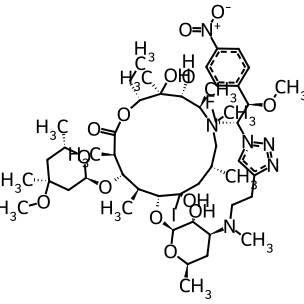 CC[C@H]1OC(=O)[C@H](C)[C@@H](O[C@H]2C[C@@](C)(OC)C[C@H](C)O2)[C@H](C)[C@@H](O[C@@H]2O[C@H](C)C[C@H](N(C)CCc3cn([C@H](CF)[C@H](OC)c4ccc([N+](=O)[O-])cc4)nn3)[C@H]2O)[C@@](O)(I)C[C@@H](C)CN(C)[C@H](C)[C@@H](O)[C@]1(C)O